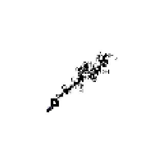 C/C=C/c1ccc(SCCNC(=O)CCNC(=O)C(O)C(C)(C)COP(=O)(O)OP(=O)(O)OC[C@H]2O[C@@H](n3cnc4c(N)ncnc43)[C@H](O)[C@@H]2OP(=O)(O)O)cc1